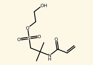 C=CC(=O)NC(C)(C)CS(=O)(=O)OCCO